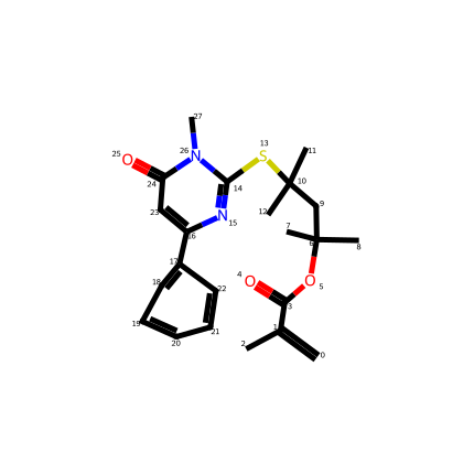 C=C(C)C(=O)OC(C)(C)CC(C)(C)Sc1nc(-c2ccccc2)cc(=O)n1C